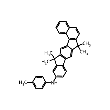 Cc1ccc(Nc2ccc3c(c2)C(C)(C)c2cc4c(cc2-3)C(C)(C)c2ccc3ccccc3c2-4)cc1